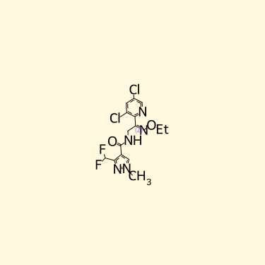 CCO/N=C(/CNC(=O)c1cn(C)nc1C(F)F)c1ncc(Cl)cc1Cl